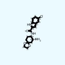 N[C@@H]1CC2(CC[C@@H]1NC(=O)c1cc3cc(Cl)ccc3[nH]1)OCCO2